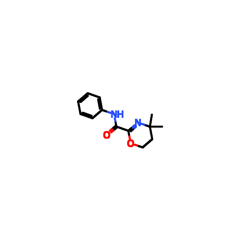 CC1(C)CCOC(C(=O)Nc2ccccc2)=N1